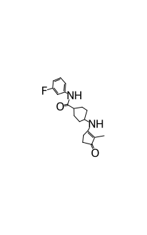 CC1=C(NC2CCC(C(=O)Nc3cccc(F)c3)CC2)CCC1=O